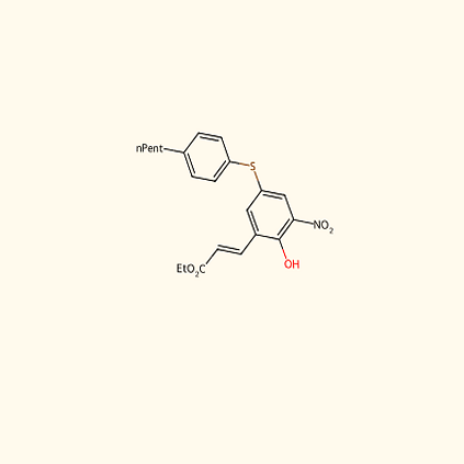 CCCCCc1ccc(Sc2cc(C=CC(=O)OCC)c(O)c([N+](=O)[O-])c2)cc1